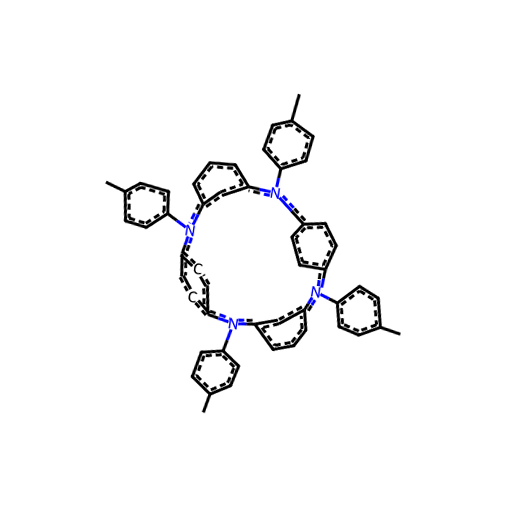 Cc1ccc(-n2c3ccc(cc3)n(-c3ccc(C)cc3)c3cccc(c3)n(-c3ccc(C)cc3)c3ccc(cc3)n(-c3ccc(C)cc3)c3cccc2c3)cc1